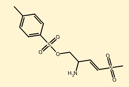 Cc1ccc(S(=O)(=O)OCC(N)C=CS(C)(=O)=O)cc1